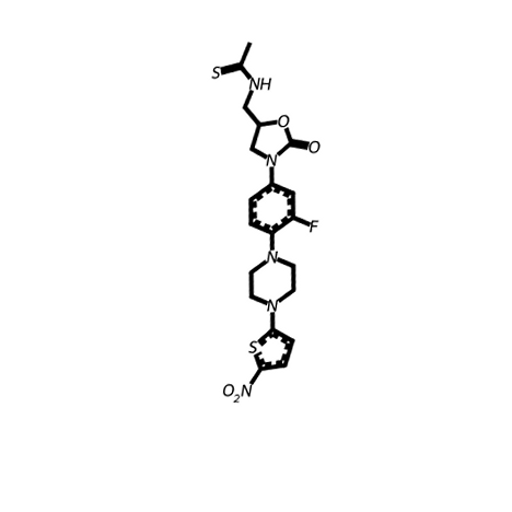 CC(=S)NCC1CN(c2ccc(N3CCN(c4ccc([N+](=O)[O-])s4)CC3)c(F)c2)C(=O)O1